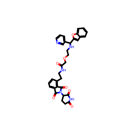 O=C(COCCNC(c1cccnc1)c1cc2ccccc2o1)NCCc1cccc2c1C(=O)N(C1CCC(=O)NC1=O)C2=O